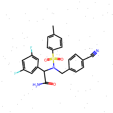 Cc1ccc(S(=O)(=O)N(Cc2ccc(C#N)cc2)C(C(N)=O)c2cc(F)cc(F)c2)cc1